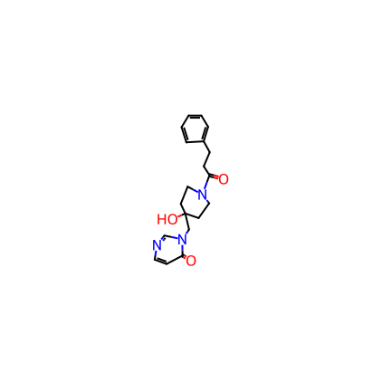 O=C(CCc1ccccc1)N1CCC(O)(Cn2cnccc2=O)CC1